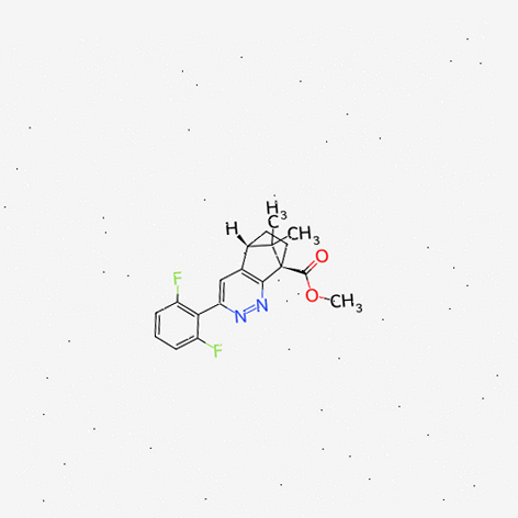 COC(=O)[C@@]12CC[C@@H](c3cc(-c4c(F)cccc4F)nnc31)C2(C)C